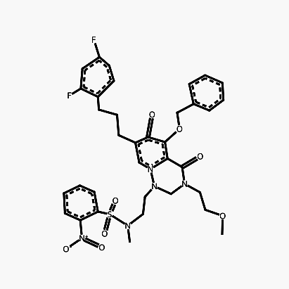 COCCN1CN(CCN(C)S(=O)(=O)c2ccccc2[N+](=O)[O-])n2cc(CCCc3ccc(F)cc3F)c(=O)c(OCc3ccccc3)c2C1=O